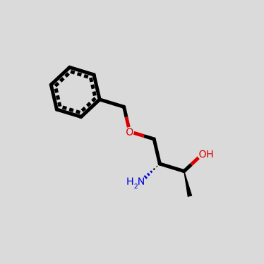 C[C@H](O)[C@H](N)COCc1ccccc1